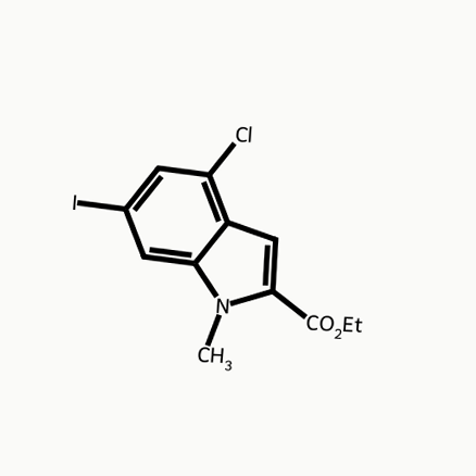 CCOC(=O)c1cc2c(Cl)cc(I)cc2n1C